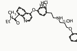 CCN(C)C(=O)c1cccc2c(Oc3ccc(CCNC[C@H](O)COc4ccccc4)cc3)ccnc12.Cl.Cl